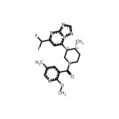 COc1ncc(C)cc1C(=O)N1CC[C@@H](C)[C@H](c2cc(C(F)F)nc3ncnn23)C1